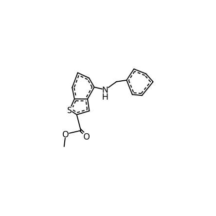 COC(=O)c1cc2c(NCc3ccccc3)cccc2s1